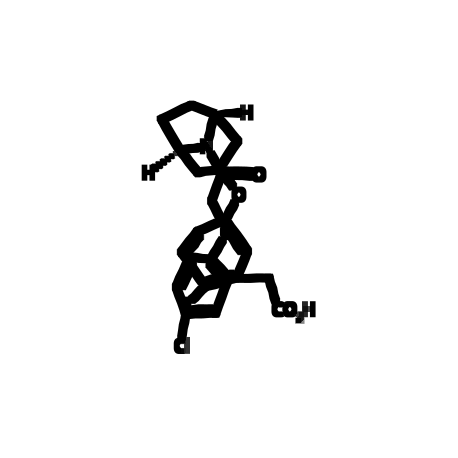 O=C(O)Cc1cc(Cl)ccc1OCC(=O)N1[C@@H]2CC[C@@H]1CC(Oc1ccc(F)cc1)C2